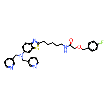 O=C(COCc1ccc(F)cc1)NCCCCCc1nc2ccc(N(Cc3cccnc3)Cc3cccnc3)cc2s1